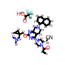 C=CC(=O)N1CCN(c2nc(OCC3(CN(C)C)CC3)nc3c2CCN(c2cccc4ccccc24)C3)C[C@@H]1CC#N.O=C(O)C(F)(F)F